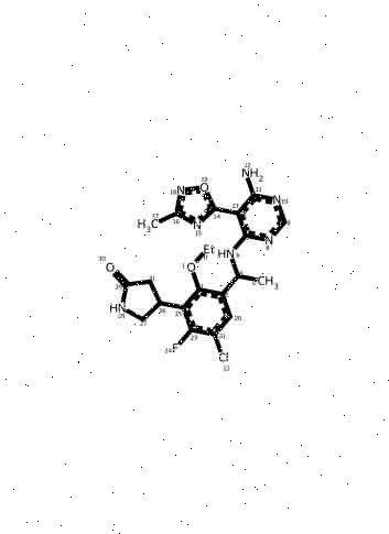 CCOc1c(C(C)Nc2ncnc(N)c2-c2nc(C)no2)cc(Cl)c(F)c1C1CNC(=O)C1